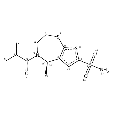 CC(C)C(=O)N1CCSc2sc(S(N)(=O)=O)cc2[C@H]1C